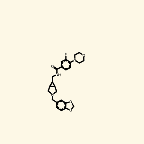 O=C(NCC1C2CN(Cc3ccc4c(c3)OCO4)CC12)c1ccc(N2CCOCC2)c(F)c1